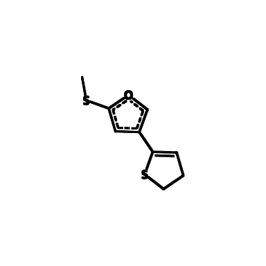 CSc1cc(C2=CCCS2)co1